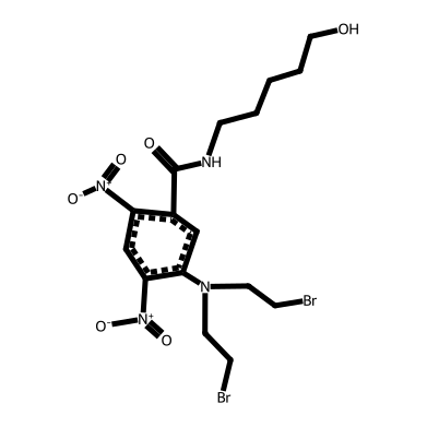 O=C(NCCCCCO)c1cc(N(CCBr)CCBr)c([N+](=O)[O-])cc1[N+](=O)[O-]